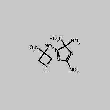 O=C(O)C1([N+](=O)[O-])N=NC([N+](=O)[O-])=N1.O=[N+]([O-])C1([N+](=O)[O-])CNC1